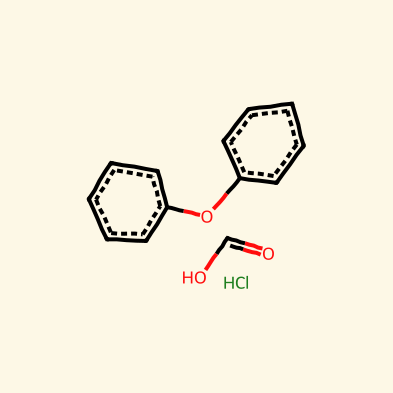 Cl.O=CO.c1ccc(Oc2ccccc2)cc1